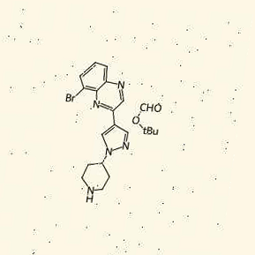 Brc1cccc2ncc(-c3cnn(C4CCNCC4)c3)nc12.CC(C)(C)OC=O